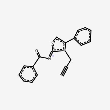 C#CCn1c(-c2ccccc2)cs/c1=N\C(=O)c1ccccc1